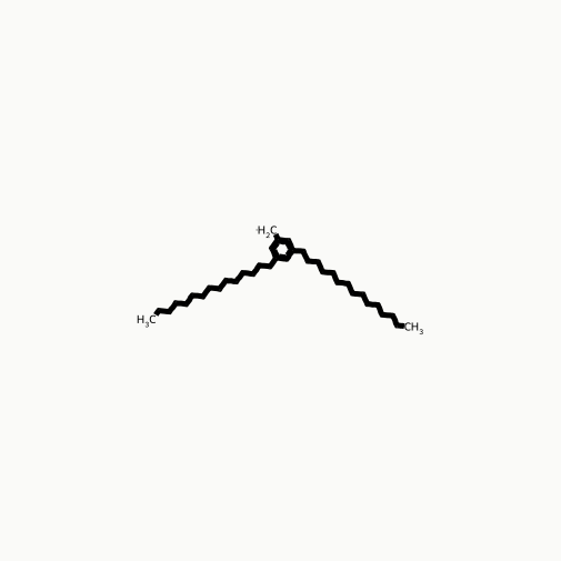 [CH2]c1cc(CCCCCCCCCCCCCCC)cc(CCCCCCCCCCCCCCC)c1